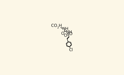 O=C(O)CNC(=O)NS(=O)(=O)C=Cc1ccc(Cl)cc1